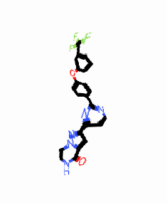 O=C1NCCn2nc(-c3ccnc(-c4ccc(Oc5cccc(C(F)(F)F)c5)cc4)n3)cc21